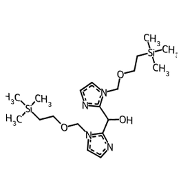 C[Si](C)(C)CCOCn1ccnc1C(O)c1nccn1COCC[Si](C)(C)C